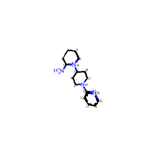 NC1CCCCN1C1CCN(c2ccccn2)CC1